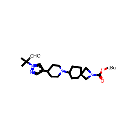 CC(C)(C)OC(=O)N1CC2(CCC(N3CCC(c4cnn(C(C)(C)C=O)c4)CC3)CC2)C1